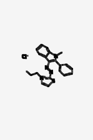 CCC[n+]1ccsc1N=Nc1c(-c2ccccc2)n(C)c2ccccc12.[Cl-]